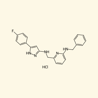 Cl.Fc1ccc(-c2cc(NCc3cccc(NCc4ccccc4)n3)n[nH]2)cc1